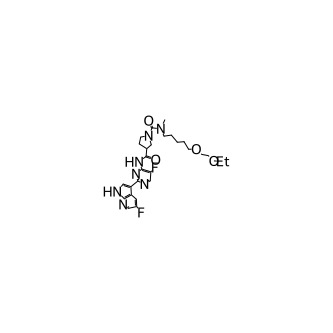 CCOCCOCCCCCN(C)C(=O)N1CCC(C(=O)Nc2nc(-c3c[nH]c4ncc(F)cc34)ncc2F)C1